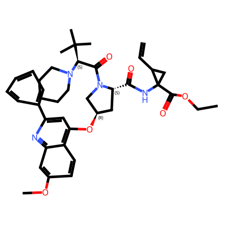 C=CC1CC1(NC(=O)[C@@H]1C[C@@H](Oc2cc(-c3ccccc3)nc3cc(OC)ccc23)CN1C(=O)[C@@H](N1CCCCC1)C(C)(C)C)C(=O)OCC